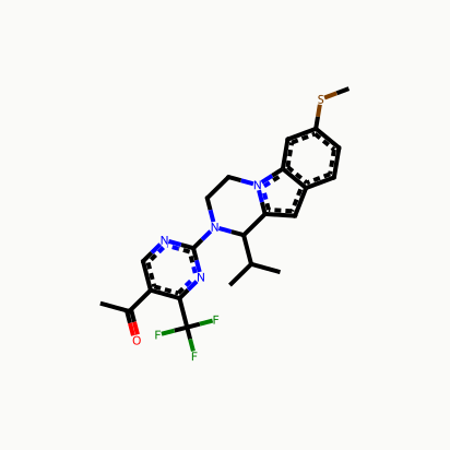 CSc1ccc2cc3n(c2c1)CCN(c1ncc(C(C)=O)c(C(F)(F)F)n1)C3C(C)C